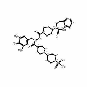 Cc1cc(C[C@@H](OC(=O)N2CCC(N3CCc4ccccc4NC3=O)CC2)C(=O)N2CCN(C3CCN(S(N)(=O)=O)CC3)CC2)cc(C)c1O